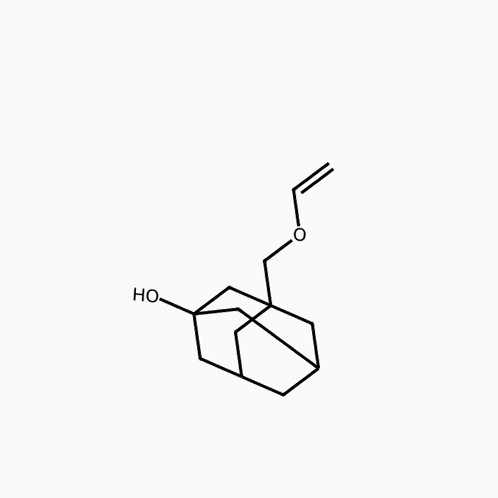 C=COCC12CC3CC(CC(O)(C3)C1)C2